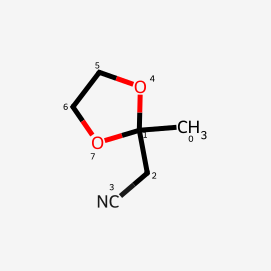 CC1(CC#N)OCCO1